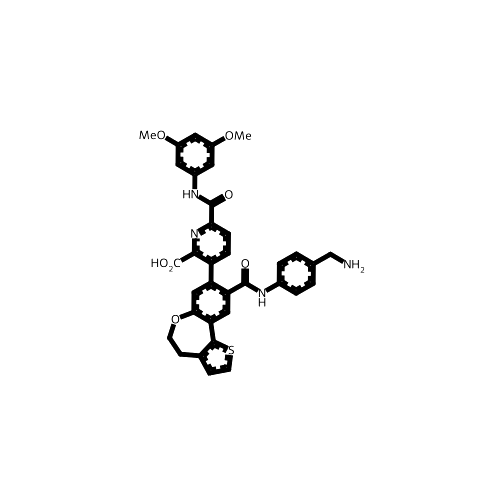 COc1cc(NC(=O)c2ccc(-c3cc4c(cc3C(=O)Nc3ccc(CN)cc3)-c3sccc3CCO4)c(C(=O)O)n2)cc(OC)c1